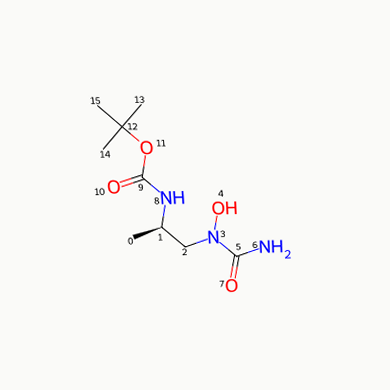 C[C@H](CN(O)C(N)=O)NC(=O)OC(C)(C)C